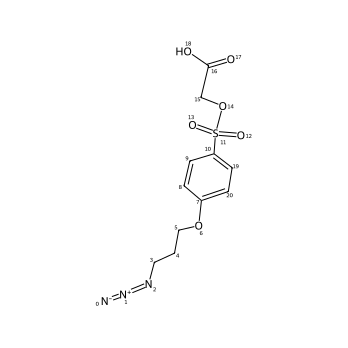 [N-]=[N+]=NCCCOc1ccc(S(=O)(=O)OCC(=O)O)cc1